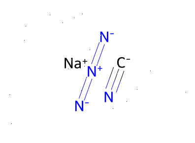 [C-]#N.[N-]=[N+]=[N-].[Na+]